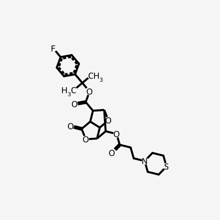 CC(C)(OC(=O)C1C2OC3C(OC(=O)C31)C2OC(=O)CCN1CCSCC1)c1ccc(F)cc1